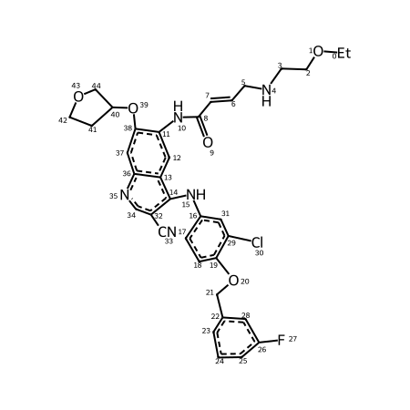 CCOCCNC/C=C/C(=O)Nc1cc2c(Nc3ccc(OCc4cccc(F)c4)c(Cl)c3)c(C#N)cnc2cc1OC1CCOC1